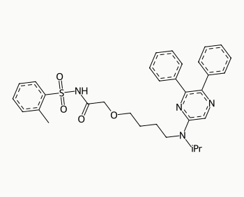 Cc1ccccc1S(=O)(=O)NC(=O)COCCCCN(c1cnc(-c2ccccc2)c(-c2ccccc2)n1)C(C)C